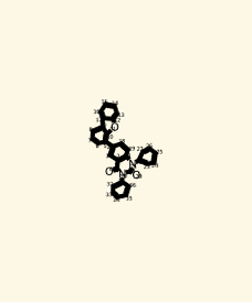 O=c1c2cc(-c3cccc4c3oc3ccccc34)ccc2n(-c2ccccc2)c(=O)n1-c1ccccc1